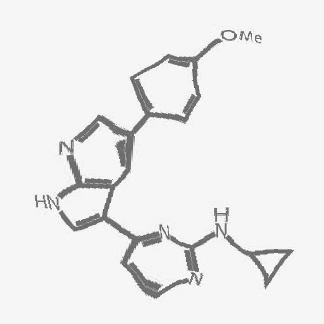 COc1ccc(-c2cnc3[nH]cc(-c4ccnc(NC5CC5)n4)c3c2)cc1